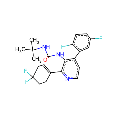 CC(C)(C)NC(=O)Nc1c(-c2cc(F)ccc2F)ccnc1C1=CCC(F)(F)CC1